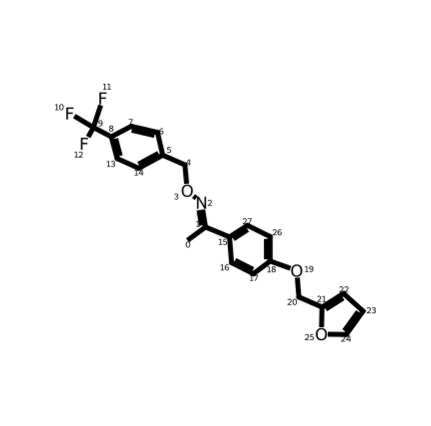 C/C(=N\OCc1ccc(C(F)(F)F)cc1)c1ccc(OCc2ccco2)cc1